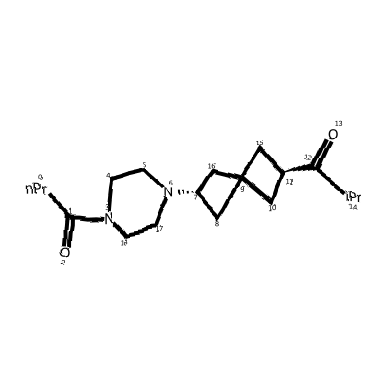 CCCC(=O)N1CCN([C@H]2CC3(C[C@H](C(=O)C(C)C)C3)C2)CC1